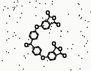 O=C(c1ccc(Oc2ccc3c(c2)C(=O)OC3=O)cc1)c1ccc(Oc2ccc3c(c2)C(=O)OC3=O)cc1